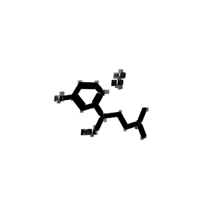 CCOC(=O)N(CCN(C)C)c1cc(C(F)(F)F)ccn1.O.O